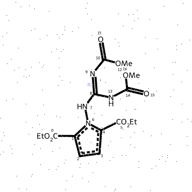 CCOC(=O)c1ccc(C(=O)OCC)n1N/C(=N/C(=O)OC)NC(=O)OC